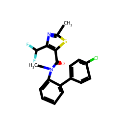 Cc1nc(C(F)F)c(C(=O)N(C)c2ccccc2-c2ccc(Cl)cc2)s1